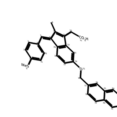 CSc1ccc(/C=C2/C(C)=C(CC(=O)O)c3cc(OCc4ccc5ccccc5c4)ccc32)cc1